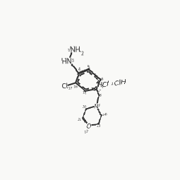 Cl.Cl.NNc1ccc(CN2CCOCC2)cc1Cl